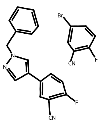 N#Cc1cc(-c2cnn(Cc3ccccc3)c2)ccc1F.N#Cc1cc(Br)ccc1F